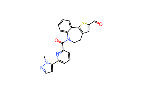 Cn1nccc1-c1cccc(C(=O)N2CCc3cc(C=O)sc3-c3ccccc32)n1